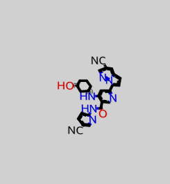 N#Cc1ccc(NC(=O)c2cnc(-c3ccc4cc(C#N)cnn34)cc2N[C@H]2CCC[C@@H](O)C2)nc1